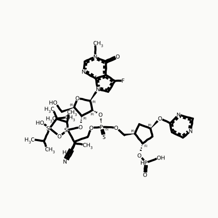 CC(C)[Si](O)(O[Si](O[C@H]1[C@@H](O[P@](=S)(OCCC#N)OC[C@H]2C[C@@H](Oc3ccncn3)C[C@@H]2O[PH](=O)O)[C@H](n2cc(F)c3c(=O)n(C)cnc32)O[C@@H]1CO)(C(C)C)C(C)C)C(C)C